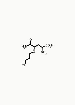 NC(=O)C(CC(N)C(=O)O)OCCC[18F]